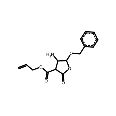 C=CCOC(=O)C1C(=O)OC(OCc2ccccc2)C1N